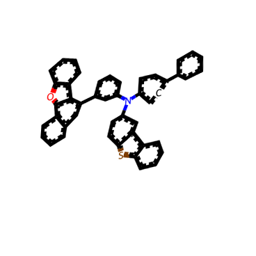 c1ccc(-c2ccc(N(c3cccc(-c4cc5ccccc5c5oc6ccccc6c45)c3)c3ccc4sc5ccccc5c4c3)cc2)cc1